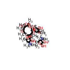 CC[C@H]1OC(=O)[C@H](C)[C@@H](O[C@H]2C[C@@](C)(OC)[C@@H](O)[C@H](C)O2)[C@H](C)[C@@H](O[C@@H]2O[C@H](C)C[C@H](N(C)C)[C@H]2O)[C@](C)(O)C[C@@H](C)C(=O)[C@H](C)[C@@H](O)[C@]1(C)O.C[C@@H]1C[C@H](N(C)C)[C@@H](O)[C@H](O)O1